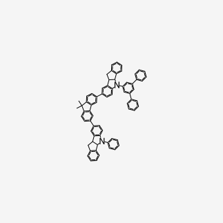 CC1(C)c2ccc(-c3ccc4c(c3)C3Cc5ccccc5C3N4c3ccccc3)cc2-c2cc(-c3ccc4c(c3)C3Cc5ccccc5C3N4c3cc(-c4ccccc4)cc(-c4ccccc4)c3)ccc21